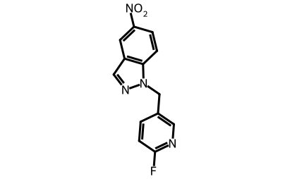 O=[N+]([O-])c1ccc2c(cnn2Cc2ccc(F)nc2)c1